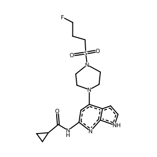 O=C(Nc1cc(N2CCN(S(=O)(=O)CCCF)CC2)c2cc[nH]c2n1)C1CC1